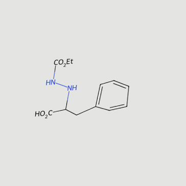 CCOC(=O)NNC(Cc1ccccc1)C(=O)O